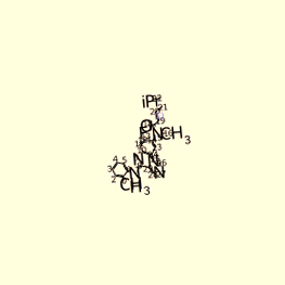 Cc1ccccc1Nc1nc2cc(F)c(N(C)C(=O)/C=C/CC(C)C)cc2n2cncc12